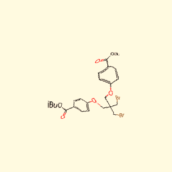 CC(C)COC(=O)c1ccc(OCC(CBr)(CBr)COc2ccc(C(=O)OCC(C)C)cc2)cc1